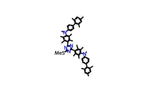 CSc1nc(-c2c(C)c(C)c(N(C)c3ccc(-c4c(C)cc(C)cc4C)cc3)c(C)c2C)nc(-c2c(C)c(C)c(N(C)c3ccc(-c4c(C)cc(C)cc4C)cc3)c(C)c2C)n1